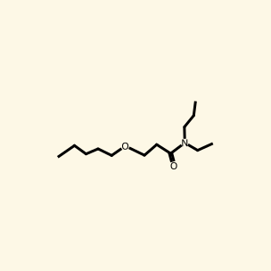 CCCCCOCCC(=O)N(CC)CCC